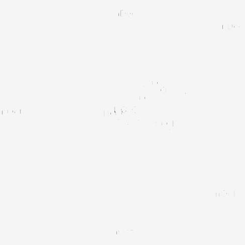 CCCCCCCCC=CCCCCCCCCC(CCCCCCCCC=CCCCCCCCC)(C(=O)O)C(CCCCCCCCC=CCCCCCCCC)(C(=O)O)C(C(=O)O)C(COC(=O)CCCCCCCCCCCCCCCCC)OC(=O)CCCCCCCCCCCCCCCCC